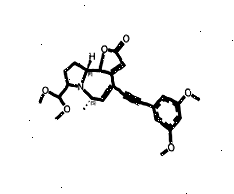 COc1cc(C#CC2=C[C@H](C)N3C(C(OC)OC)CC[C@@H]3C3OC(=O)C=C23)cc(OC)c1